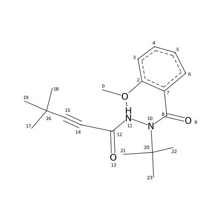 COc1ccccc1C(=O)N(NC(=O)C#CC(C)(C)C)C(C)(C)C